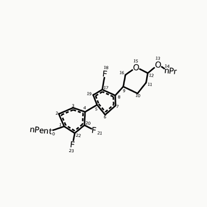 CCCCCc1ccc(-c2ccc(C3CCC(OCCC)OC3)c(F)c2)c(F)c1F